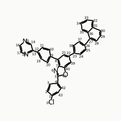 Clc1ccc(-c2nc3c(-c4ccc(-c5cnccn5)cc4)cc(-c4ccc(-c5cccc6ccccc56)cc4)cc3o2)cc1